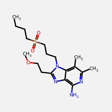 CCCCS(=O)(=O)CCCn1c(CCOC)nc2c(N)nc(C)c(C)c21